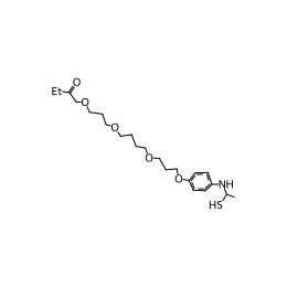 CCC(=O)COCCCOCCCCOCCCOc1ccc(NC(C)S)cc1